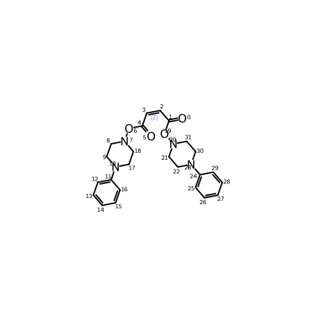 O=C(/C=C\C(=O)ON1CCN(c2ccccc2)CC1)ON1CCN(c2ccccc2)CC1